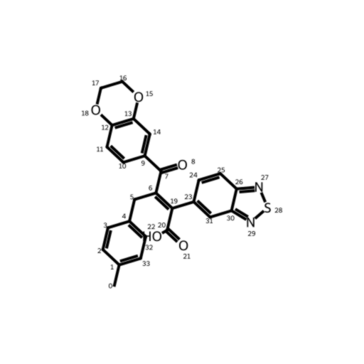 Cc1ccc(C/C(C(=O)c2ccc3c(c2)OCCO3)=C(\C(=O)O)c2ccc3nsnc3c2)cc1